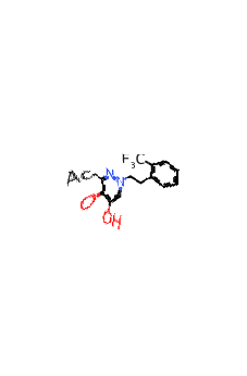 CC(=O)c1nn(CCc2ccccc2C(F)(F)F)cc(O)c1=O